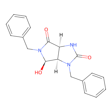 O=C1N[C@@H]2C(=O)N(Cc3ccccc3)[C@H](O)[C@@H]2N1Cc1ccccc1